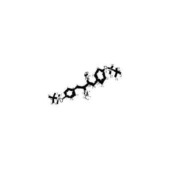 [C-]#[N+]C(=Cc1ccc(O[Si](C)(C)C(C)(C)C)cc1)C(=Cc1ccc(O[Si](C)(C)C(C)(C)C)cc1)[N+]#[C-]